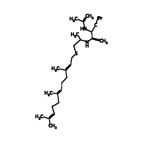 C=C(C)NC(CC(C)C)C(=C)NC(C)CSC/C=C(\C)CC/C=C(\C)CCC=C(C)C